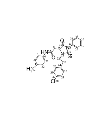 Cc1ccc(NC(=O)CC2C(=O)N(c3ccccc3)C(=S)N2CCc2ccc(Cl)cc2)cc1